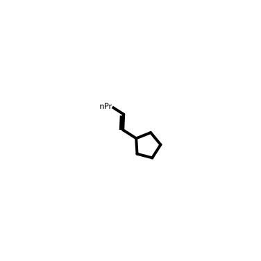 [CH2]CC/C=C/C1CCCC1